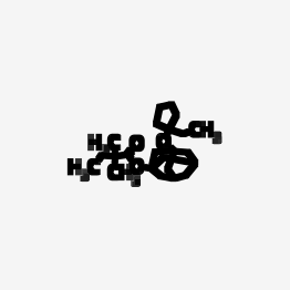 CCC1(OC23CC4CC(CC(OC(=O)C(C)(C)CC)(C4)C2)C3)CCCC1